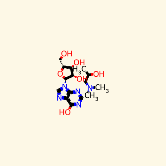 CC(O)CN(C)C.OC[C@H]1O[C@@H](n2cnc3c(O)ncnc32)[C@H](O)[C@@H]1O